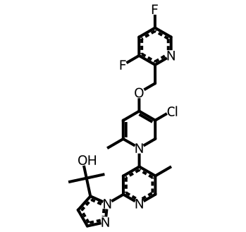 CC1=CC(OCc2ncc(F)cc2F)=C(Cl)CN1c1cc(-n2nccc2C(C)(C)O)ncc1C